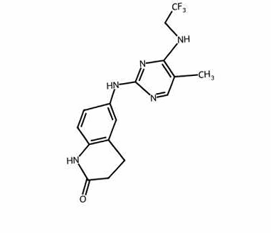 Cc1cnc(Nc2ccc3c(c2)CCC(=O)N3)nc1NCC(F)(F)F